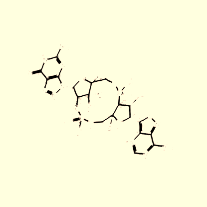 Nc1nc2c(nnn2[C@@H]2O[C@@H]3COP(=O)(O)[C@H]4[C@@H](F)[C@H](c5snc6c(N)ncnc56)O[C@@H]4COP(=O)(O)O[C@@H]2[C@@H]3O)c(=O)[nH]1